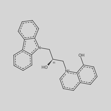 Oc1cccc2ccc[n+](C[C@@H](O)Cn3c4ccccc4c4ccccc43)c12